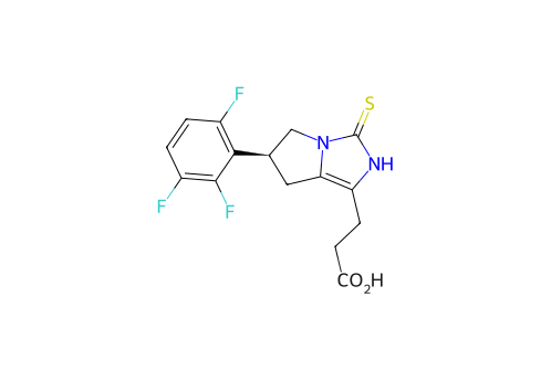 O=C(O)CCc1[nH]c(=S)n2c1C[C@@H](c1c(F)ccc(F)c1F)C2